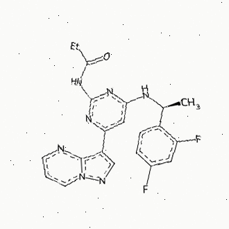 CCC(=O)Nc1nc(N[C@@H](C)c2ccc(F)cc2F)cc(-c2cnn3cccnc23)n1